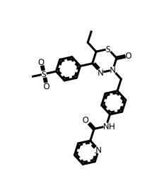 CCC1SC(=O)N(Cc2ccc(NC(=O)c3ccccn3)cc2)N=C1c1ccc(S(C)(=O)=O)cc1